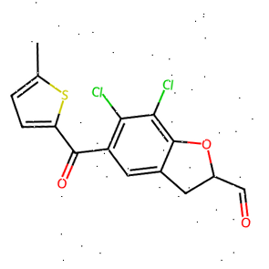 Cc1ccc(C(=O)c2cc3c(c(Cl)c2Cl)OC(C=O)C3)s1